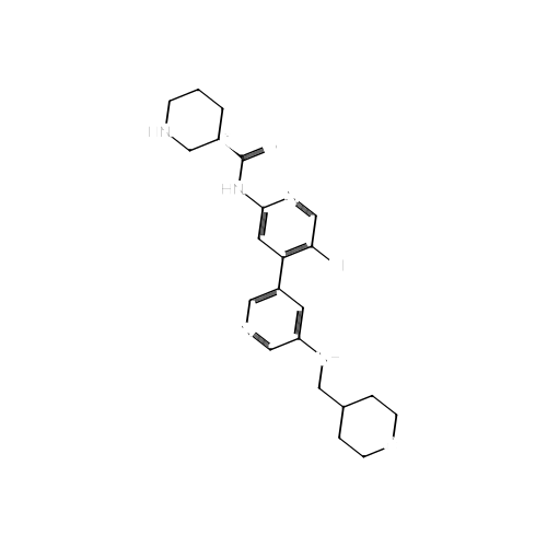 O=C(Nc1cc(-c2cncc(NCC3CCOCC3)c2)c(Cl)cn1)[C@@H]1CCCNC1